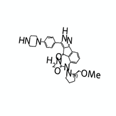 COC[C@H]1CCCN1N(C(N)=O)c1cccc2c1C(=O)c1c-2n[nH]c1-c1ccc(N2CCNCC2)cc1